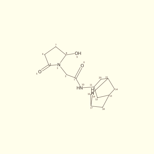 O=C(CN1C(=O)CCC1O)NC12CC3CC(CC(C3)N1)C2